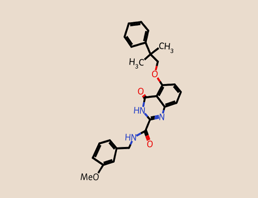 COc1cccc(CNC(=O)c2nc3cccc(OCC(C)(C)c4ccccc4)c3c(=O)[nH]2)c1